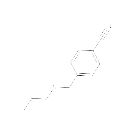 CCCNCc1ccc(C#N)cc1